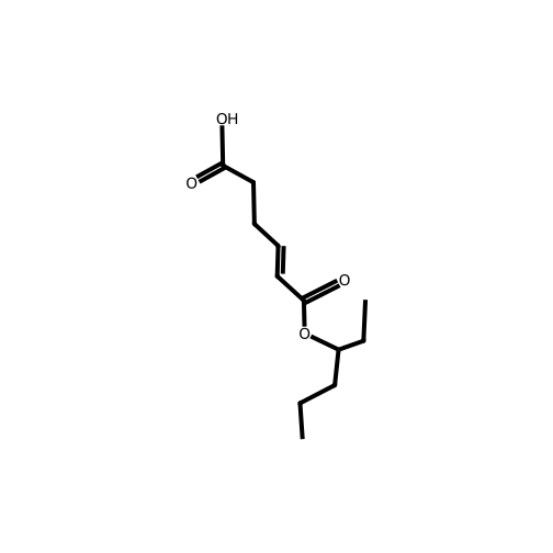 CCCC(CC)OC(=O)C=CCCC(=O)O